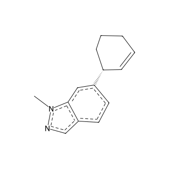 Cn1ncc2ccc([C@H]3C=CCCC3)cc21